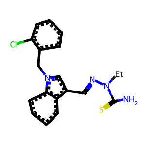 CCN(N=Cc1cn(Cc2ccccc2Cl)c2ccccc12)C(N)=S